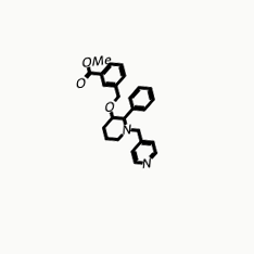 COC(=O)c1cccc(COC2CCCN(Cc3ccncc3)C2c2ccccc2)c1